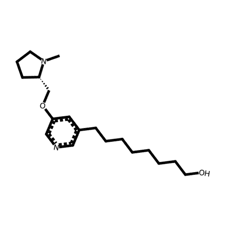 CN1CCC[C@H]1COc1cncc(CCCCCCCCO)c1